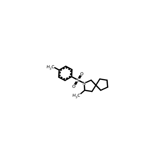 Cc1ccc(S(=O)(=O)N2CC3(CCCC3)CC2C)cc1